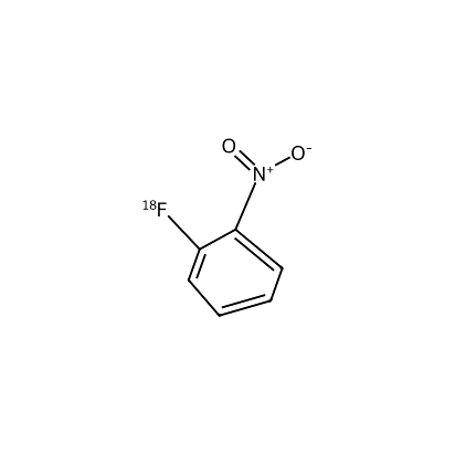 O=[N+]([O-])c1ccccc1[18F]